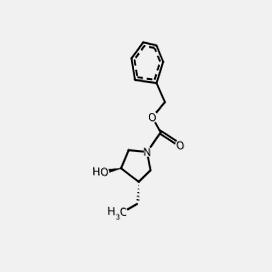 CC[C@H]1CN(C(=O)OCc2ccccc2)C[C@@H]1O